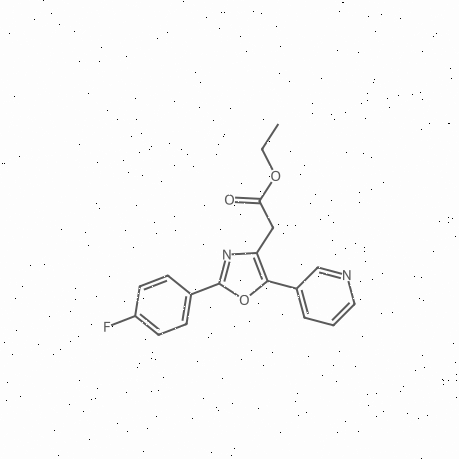 CCOC(=O)Cc1nc(-c2ccc(F)cc2)oc1-c1cccnc1